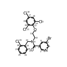 O=C(c1cncc(Br)c1)N(CCOc1c(Cl)cc(Cl)cc1Cl)Cc1ccccc1Cl